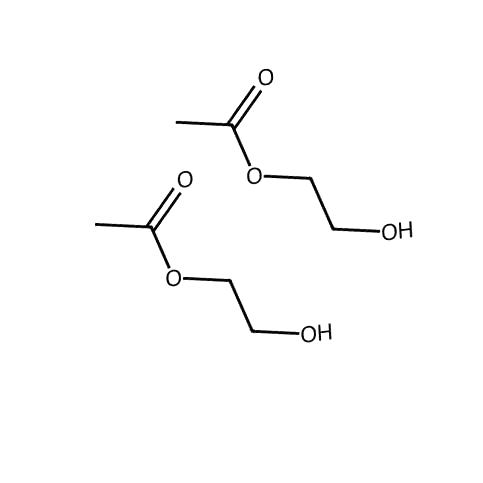 CC(=O)OCCO.CC(=O)OCCO